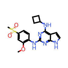 COc1cc(S(C)(=O)=O)ccc1Nc1nc(NC2CCC2)c2cc[nH]c2n1